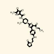 CCOC(=O)c1sc(N2CC[C@@H](NC(=O)c3[nH]c(C)c(Cl)c3Cl)[C@@H](C)C2)nc1-c1cnc(NCCN2CCCC2=O)cn1